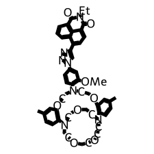 CCN1C(=O)c2cccc3c(-c4cn(-c5ccc(N6CCOc7cc(C)ccc7N7CCOCCOCCN(CCOCC7)c7ccc(C)cc7OCC6)c(OC)c5)nn4)ccc(c23)C1=O